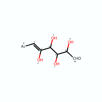 CC(=O)C=C(O)C(O)C(O)C(O)C=O